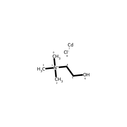 C[N+](C)(C)CCO.[Cd].[Cl-]